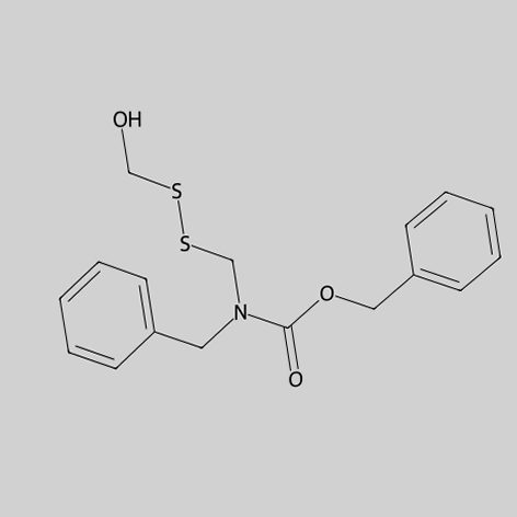 O=C(OCc1ccccc1)N(CSSCO)Cc1ccccc1